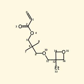 C=CC(=O)OCC(C)(C)COCC1(CC)COC1